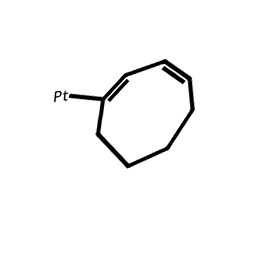 [Pt]/[C]1=C/C=C\CCCC1